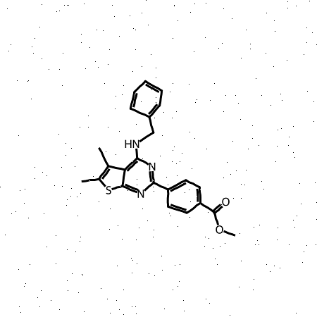 COC(=O)c1ccc(-c2nc(NCc3ccccc3)c3c(C)c(C)sc3n2)cc1